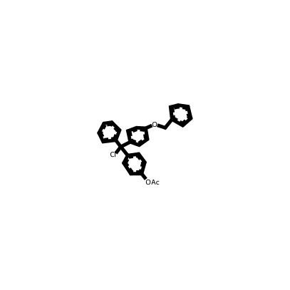 CC(=O)Oc1ccc(C(Cl)(c2ccccc2)c2ccc(OCc3ccccc3)cc2)cc1